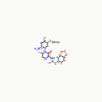 CC(=O)NCc1cc(-n2c(C)cnc(NC(C)Cc3ccc4c(c3)OCO4)c2=O)c(N)nc1C